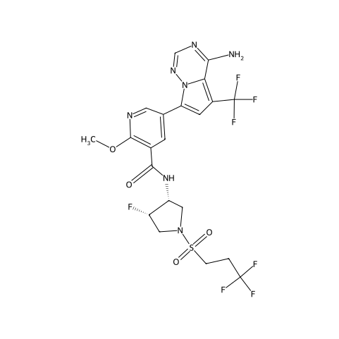 COc1ncc(-c2cc(C(F)(F)F)c3c(N)ncnn23)cc1C(=O)N[C@@H]1CN(S(=O)(=O)CCC(F)(F)F)C[C@@H]1F